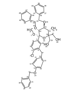 CO[C@@]1(c2ccc(Cl)c(Cc3ccc(OCc4ccccc4)cc3)c2)OC(CO)(CO)[C@@H](C)[C@H](OCc2ccccc2)[C@H]1OCc1ccccc1